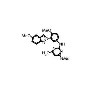 CNc1cc(C)nc(Nc2ccc(OC)c(-n3cc4cc(OC)ccc4n3)c2)n1